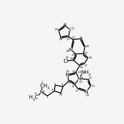 CN(C)CC1CC(C2=C3C=NC=C[N+]3(N)C(c3ccc4ccc(-c5cccs5)nc4c3Cl)=N2)C1